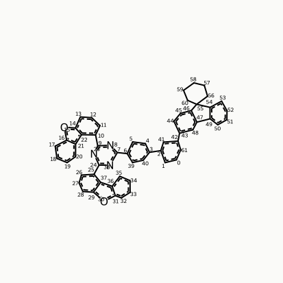 c1cc(-c2ccc(-c3nc(-c4cccc5oc6ccccc6c45)nc(-c4cccc5oc6ccccc6c45)n3)cc2)cc(-c2ccc3c(c2)-c2ccccc2C32CCCCC2)c1